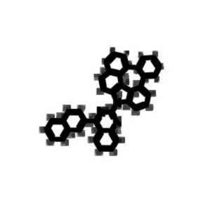 c1ccc2c(c1)-c1cccc3ccc4c(c13)c1c-2cccc1n4-c1nc(-c2ccc3ccccc3c2)c2ccccc2n1